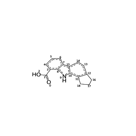 O=C(O)c1cccc2c1[nH]c1c3c(ccc12)CCC3